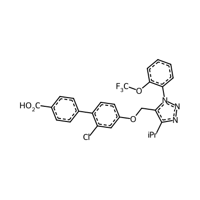 CC(C)c1nnn(-c2ccccc2OC(F)(F)F)c1COc1ccc(-c2ccc(C(=O)O)cc2)c(Cl)c1